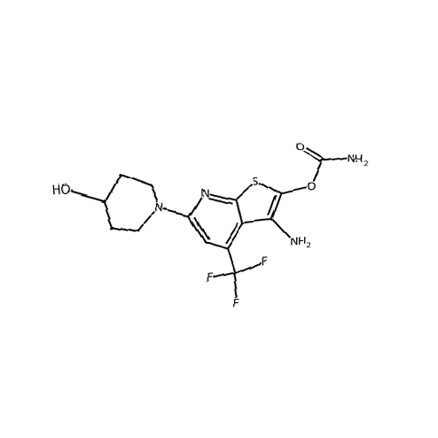 NC(=O)Oc1sc2nc(N3CCC(O)CC3)cc(C(F)(F)F)c2c1N